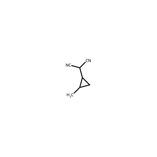 CC1CC1C(C#N)C#N